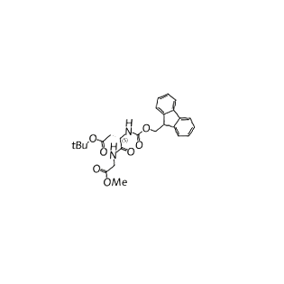 COC(=O)CNC(=O)[C@H](CC(=O)OC(C)(C)C)NC(=O)OCC1c2ccccc2-c2ccccc21